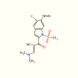 CC(=O)Nc1cc2c(cc1F)cc(C(=O)/C(C#N)=C/N(C)C)n2S(=O)(=O)C(F)(F)F